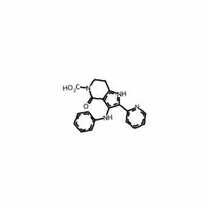 O=C(O)N1CCc2[nH]c(-c3ccccn3)c(Nc3ccccc3)c2C1=O